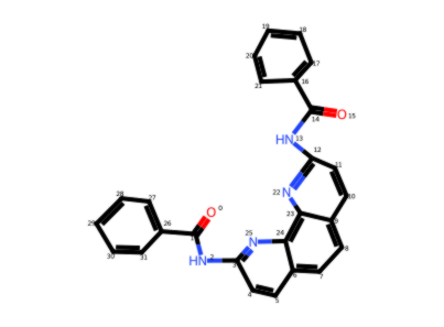 O=C(Nc1ccc2ccc3ccc(NC(=O)c4ccccc4)nc3c2n1)c1ccccc1